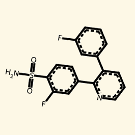 NS(=O)(=O)c1ccc(-c2ncccc2-c2cccc(F)c2)cc1F